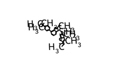 CCC1=Cc2c(-c3ccc(C(C)(C)C)cc3)cccc2C1[SiH2]C1=C(C)C2C(=C1)SC(CC)=C2C